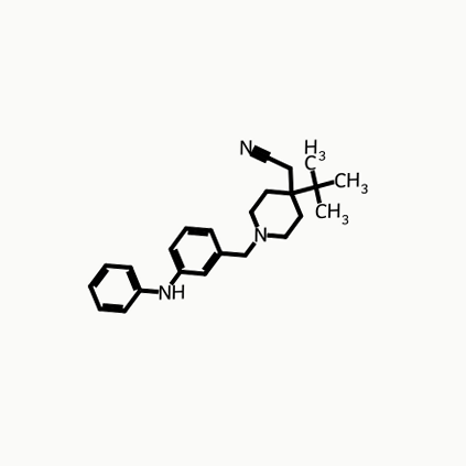 CC(C)(C)C1(CC#N)CCN(Cc2cccc(Nc3ccccc3)c2)CC1